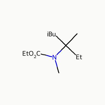 CCOC(=O)N(C)C(C)(CC)C(C)CC